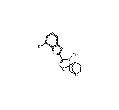 CN1C(c2cc3cccc(Br)c3s2)=NOC12CN1CCC2CC1